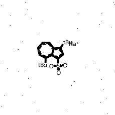 CC(C)(C)c1cc(S(=O)(=O)[O-])c2c(C(C)(C)C)ccccc1-2.[Na+]